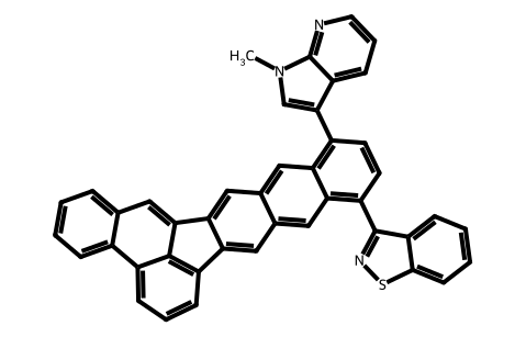 Cn1cc(-c2ccc(-c3nsc4ccccc34)c3cc4cc5c(cc4cc23)-c2cc3ccccc3c3cccc-5c23)c2cccnc21